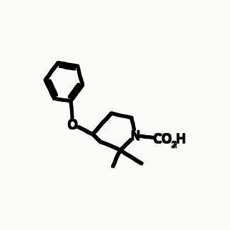 CC1(C)CC(Oc2ccccc2)CCN1C(=O)O